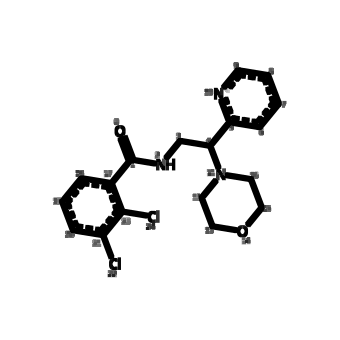 O=C(NCC(c1ccccn1)N1CCOCC1)c1cccc(Cl)c1Cl